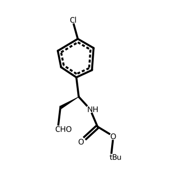 CC(C)(C)OC(=O)N[C@@H](CC=O)c1ccc(Cl)cc1